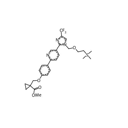 COC(=O)C1(COc2ccc(-c3ccc(-c4nc(C(F)(F)F)cn4COCCS(C)(C)C)cn3)cc2)CC1